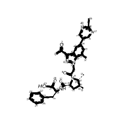 CC(=O)c1nn(CC(=O)N2[C@H](C)[C@@H](C)C[C@H]2C(=O)N[C@@H](Cc2ccccc2)C(=O)O)c2c(C)cc(-c3cnc(C)nc3)cc12